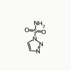 NS(=O)(=O)n1ccnn1